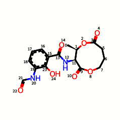 C[C@H]1OC(=O)CCCOC(=O)[C@H]1NC(=O)c1cccc(NC=O)c1O